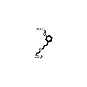 COCOc1cccc(CCCOCCC(=O)O)c1